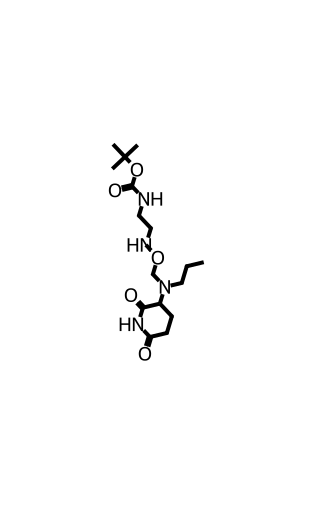 CCCN(CONCCNC(=O)OC(C)(C)C)C1CCC(=O)NC1=O